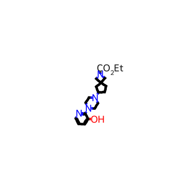 CCOC(=O)N1CC2(CCC(N3CCN(c4ncccc4O)CC3)C2)C1